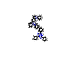 c1ccc(-c2nc(-c3ccccc3)nc(-c3cccc(-c4ccc(N5c6cc7c(ccn7-c7ccccc7)cc6C6CCCCC65)cc4)c3)n2)cc1